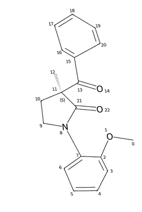 COc1ccccc1N1CC[C@@](C)(C(=O)c2ccccc2)C1=O